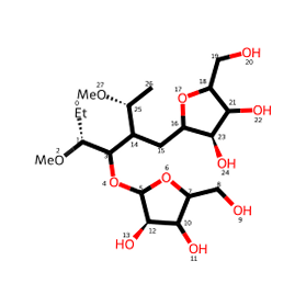 CC[C@@H](OC)C(OC1OC(CO)C(O)[C@H]1O)C(CC1OC(CO)C(O)[C@H]1O)[C@@H](C)OC